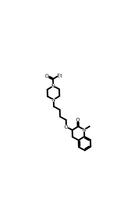 CCC(=O)N1CCN(CCCCOC2Cc3ccccc3N(C)C2=O)CC1